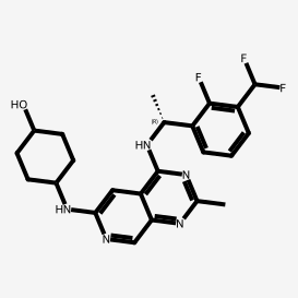 Cc1nc(N[C@H](C)c2cccc(C(F)F)c2F)c2cc(NC3CCC(O)CC3)ncc2n1